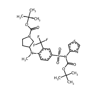 CN(c1ccc(S(=O)(=O)N(C(=O)OC(C)(C)C)c2cscn2)cc1C(F)(F)F)C1CCN(C(=O)OC(C)(C)C)C1